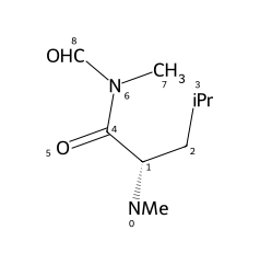 CN[C@@H](CC(C)C)C(=O)N(C)C=O